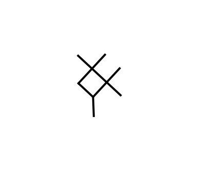 CC1CC(C)(C)C1(C)C